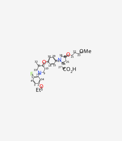 CCOc1ccc(F)c(N2CCC(Oc3ccc(N4C[C@H](OCCCOC)C[C@@H]4CC(=O)O)cc3)C(C)C2)c1